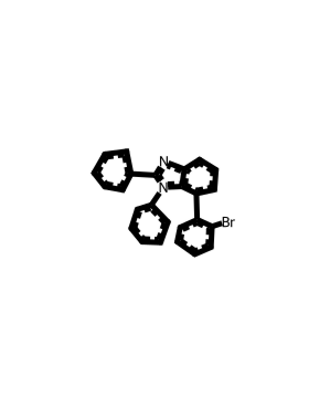 Brc1ccccc1-c1cccc2nc(-c3ccccc3)n(-c3ccccc3)c12